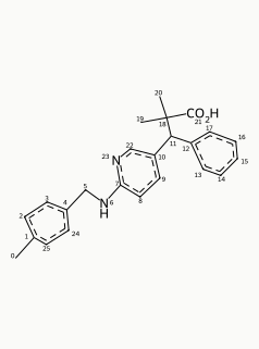 Cc1ccc(CNc2ccc(C(c3ccccc3)C(C)(C)C(=O)O)cn2)cc1